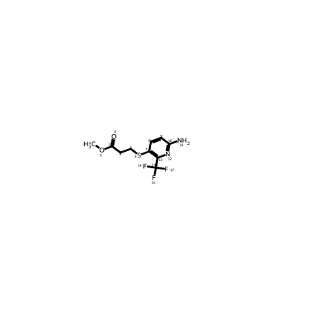 COC(=O)CCSc1ccc(N)nc1C(F)(F)F